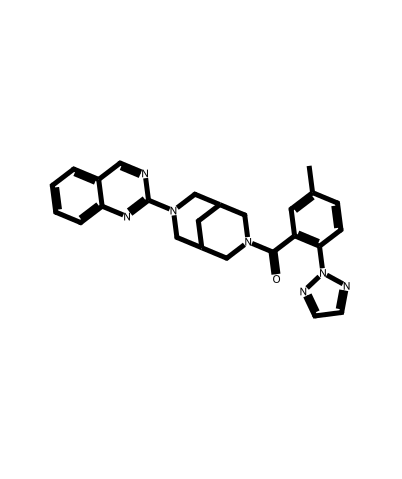 Cc1ccc(-n2nccn2)c(C(=O)N2CC3CC(C2)CN(c2ncc4ccccc4n2)C3)c1